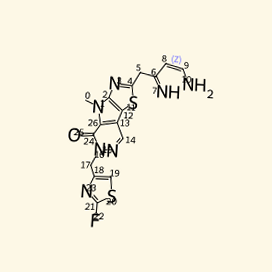 Cn1c2nc(CC(=N)/C=C\N)sc2c2cnn(Cc3csc(F)n3)c(=O)c21